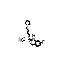 Cl.Cl.Fc1ccc2c(c1)NC(SCCCCN1CCCC1)=NC2